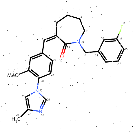 COc1cc(/C=C2/CCCCN(Cc3cccc(F)c3)C2=O)ccc1-n1cnc(C)c1